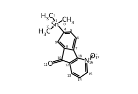 [CH3][Sn]([CH3])([CH3])[c]1ccc2c(c1)C(=O)c1ccc[n+]([O-])c1-2